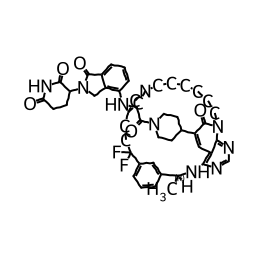 C[C@H]1Nc2ncnc3c2cc(C2CCN(C(=O)CNc4cccc5c4CN(C4CCC(=O)NC4=O)C5=O)CC2)c(=O)n3CCCCCCN2CC(CCC(F)(F)c3cccc1c3)C2